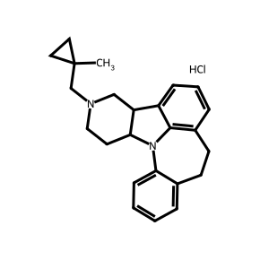 CC1(CN2CCC3C(C2)c2cccc4c2N3c2ccccc2CC4)CC1.Cl